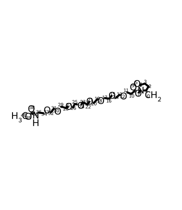 C=C1CCC(=O)N1OC(=O)CCOCCOCCOCCOCCOCCOCCOCCOCCNC(=O)OC